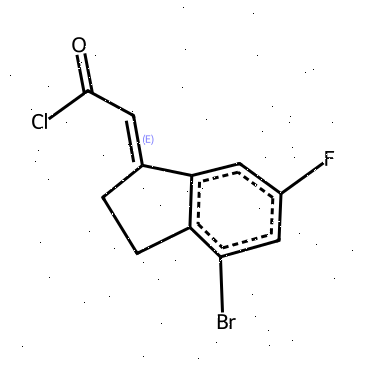 O=C(Cl)/C=C1\CCc2c(Br)cc(F)cc21